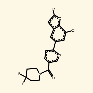 CCc1cc2cc(-c3ccc(C(=O)N4CCC(F)(F)CC4)cn3)cc(Cl)c2o1